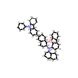 C1=Cc2c(n(-c3ccccc3)c3ccc(-c4ccc5cc(N(c6cccc7ccccc67)c6cccc7c6oc6ccccc67)ccc5c4)cc23)CC1